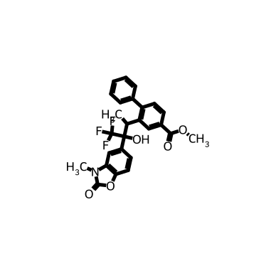 COC(=O)c1ccc(-c2ccccc2)c(C(C)C(O)(c2ccc3oc(=O)n(C)c3c2)C(F)(F)F)c1